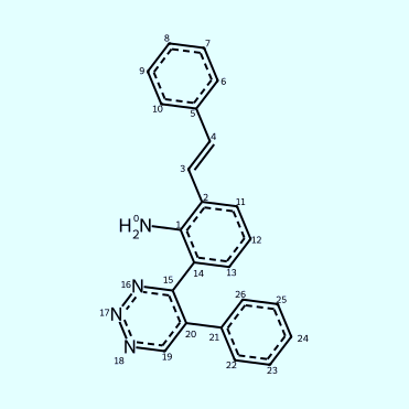 Nc1c(C=Cc2ccccc2)cccc1-c1nnncc1-c1ccccc1